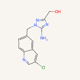 Nc1nc(CO)nn1Cc1ccc2ncc(Cl)cc2c1